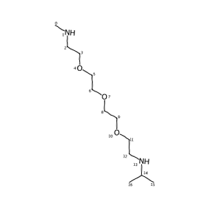 CNCCOCCOCCOCCNC(C)C